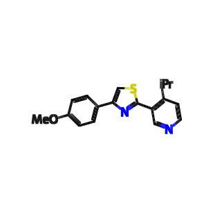 COc1ccc(-c2csc(-c3cnccc3C(C)C)n2)cc1